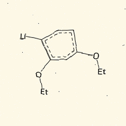 [Li][c]1ccc(OCC)cc1OCC